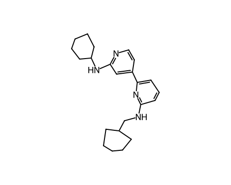 c1cc(NCC2CCCCC2)nc(-c2ccnc(NC3CCCCC3)c2)c1